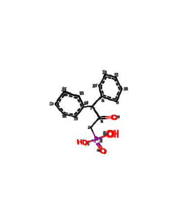 O=C(CP(=O)(O)O)C(c1ccccc1)c1ccccc1